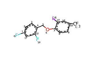 Fc1ccc(COc2ccc(C(F)(F)F)cc2I)c(F)c1